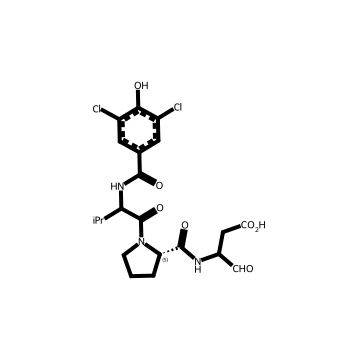 CC(C)C(NC(=O)c1cc(Cl)c(O)c(Cl)c1)C(=O)N1CCC[C@H]1C(=O)NC(C=O)CC(=O)O